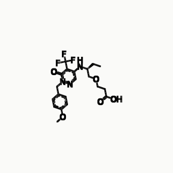 CC[C@@H](COCCC(=O)O)Nc1cnn(Cc2ccc(OC)cc2)c(=O)c1C(F)(F)F